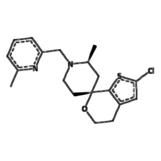 Cc1cccc(CN2CC[C@]3(C[C@@H]2C)OCCc2cc(Cl)sc23)n1